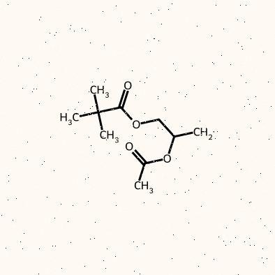 [CH2]C(COC(=O)C(C)(C)C)OC(C)=O